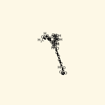 Cc1cn([C@H]2CC(O)[C@@H](COP(=O)(O)OP(=O)(O)OP(=O)(O)OP(=O)(O)OP(=O)(O)OP(=O)(O)ONC(=O)CCOCCOCCOCCOCCNC(=O)CCN3C(=O)C=CC3=O)O2)c(=O)[nH]c1=O